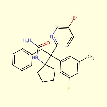 NC(=O)NC1(C(Cc2ccccc2)(c2cc(F)cc(C(F)(F)F)c2)c2ccc(Br)cn2)CCCC1